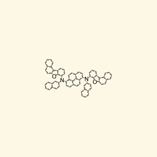 c1ccc2cc(N(c3ccc4ccc5c(N(c6ccc7ccccc7c6)c6cccc7c6oc6ccc8ccccc8c67)ccc6ccc3c4c65)c3cccc4c3oc3ccc5ccccc5c34)ccc2c1